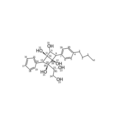 CCCCc1ccc(C2C(O)[C@@]3(O)C(c4ccccc4)[C@@](O)([C@H](O)CO)[C@@]23O)cc1